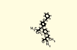 CC(C)=CCN(c1ccc(OCC2CCCCC2)cc1)C1CCN(CC(C)CC(N)C=O)CC1